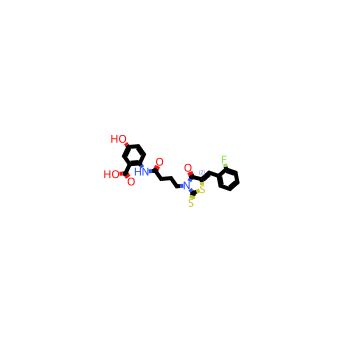 O=C(CCCN1C(=O)/C(=C/c2ccccc2F)SC1=S)Nc1ccc(O)cc1C(=O)O